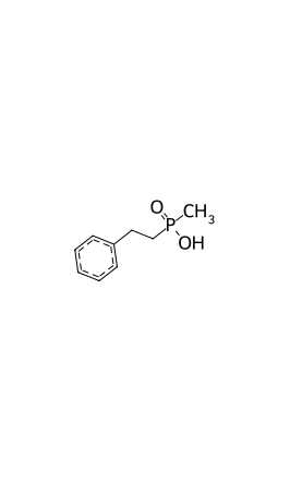 CP(=O)(O)CCc1ccccc1